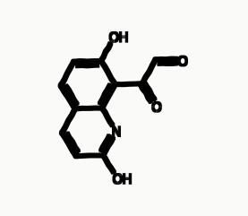 O=CC(=O)c1c(O)ccc2ccc(O)nc12